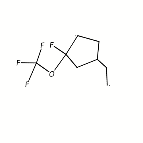 [CH2]CC1C[CH]C(F)(OC(F)(F)F)C1